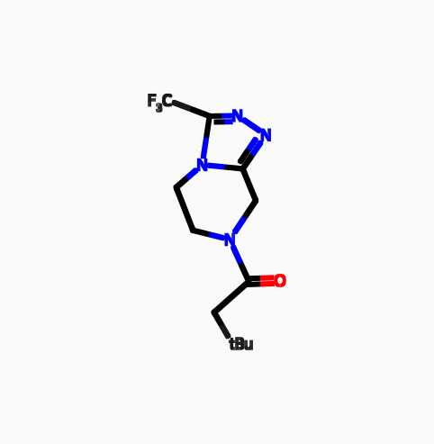 CC(C)(C)CC(=O)N1CCn2c(nnc2C(F)(F)F)C1